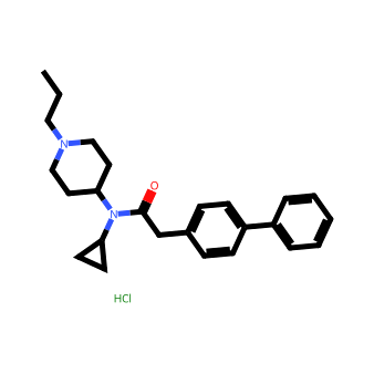 CCCN1CCC(N(C(=O)Cc2ccc(-c3ccccc3)cc2)C2CC2)CC1.Cl